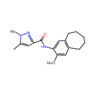 COc1cc2c(cc1NC(=O)c1cc(C)n(C(C)(C)C)n1)CCCCC2